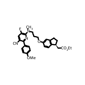 [C-]#[N+]c1cc(F)c(N(C)CCCOc2ccc3c(c2)CC[C@H]3CC(=O)OCC)nc1-c1ccc(OC)cc1